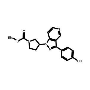 CC(C)(C)OC(=O)N1CCC(n2nc(-c3ccc(O)cc3)c3cnccc32)C1